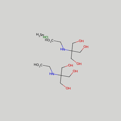 Cl.O=C(O)CNC(CO)(CO)CO.O=C(O)CNC(CO)(CO)CO.[SnH2]